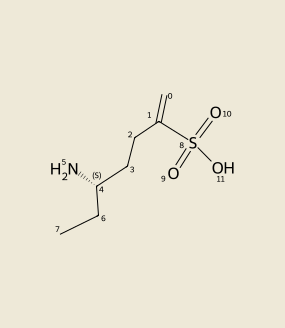 C=C(CC[C@@H](N)CC)S(=O)(=O)O